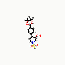 CC1(C)OB(c2ccc(C3CCN(S(C)(=O)=O)CC3O)cc2)OC1(C)C